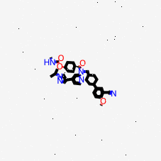 CNC(=O)O[C@H]1CC[C@@H](C(=O)N(CC2CCC(c3ccc(OC)c(C#N)c3)CC2)c2cc(-c3cnn(C(C)C)c3)ccn2)CC1